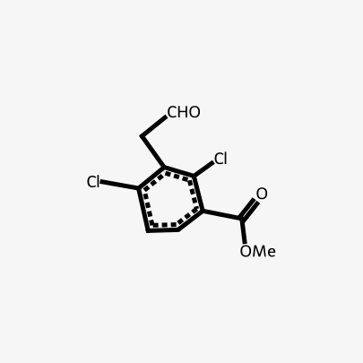 COC(=O)c1ccc(Cl)c(CC=O)c1Cl